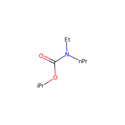 CCCN(CC)C(=O)OC(C)C